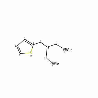 CNCC(CNC)Cc1cccs1